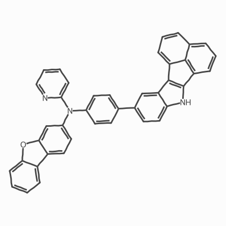 c1ccc(N(c2ccc(-c3ccc4[nH]c5c(c4c3)-c3cccc4cccc-5c34)cc2)c2ccc3c(c2)oc2ccccc23)nc1